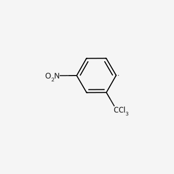 O=[N+]([O-])c1cc[c]c(C(Cl)(Cl)Cl)c1